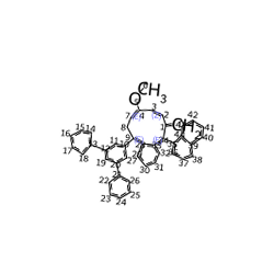 C=C1/C=C\C(OC)=C/C/C(c2cc(-c3ccccc3)cc(-c3ccccc3)c2)=c2/cccc/c2=C/1c1cccc2ccccc12